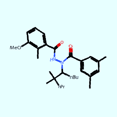 CCCCC(N(NC(=O)c1cccc(OC)c1C)C(=O)c1cc(C)cc(C)c1)C(C)(C)CCC